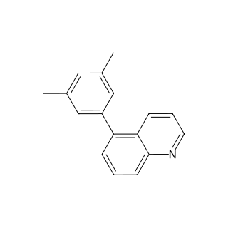 Cc1cc(C)cc(-c2cccc3ncccc23)c1